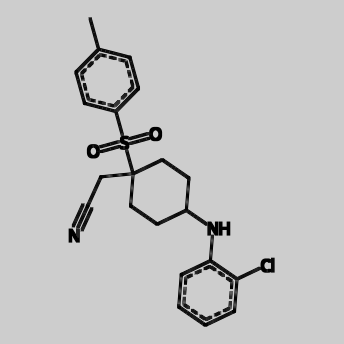 Cc1ccc(S(=O)(=O)C2(CC#N)CCC(Nc3ccccc3Cl)CC2)cc1